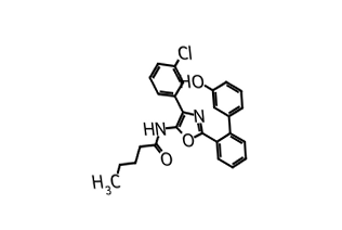 CCCCC(=O)Nc1oc(-c2ccccc2-c2cccc(O)c2)nc1-c1cccc(Cl)c1